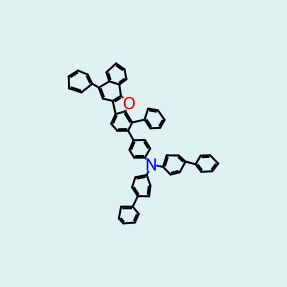 c1ccc(-c2ccc(N(c3ccc(-c4ccccc4)cc3)c3ccc(-c4ccc5c(oc6c7ccccc7c(-c7ccccc7)cc56)c4-c4ccccc4)cc3)cc2)cc1